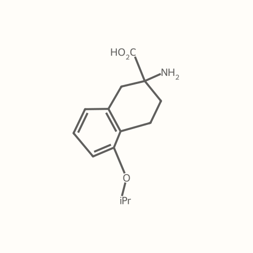 CC(C)Oc1cccc2c1CCC(N)(C(=O)O)C2